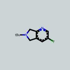 CC(C)(C)N1Cc2cc(F)cnc2C1